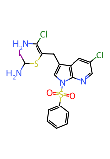 N/C(Cl)=C(/Cc1cn(S(=O)(=O)c2ccccc2)c2ncc(Cl)cc12)SC(N)I